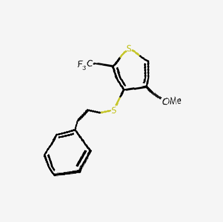 COc1csc(C(F)(F)F)c1SCc1ccccc1